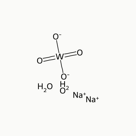 O.O.[Na+].[Na+].[O]=[W](=[O])([O-])[O-]